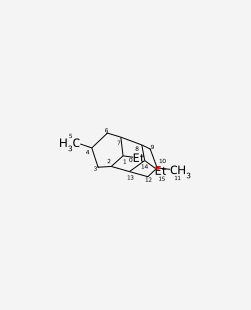 CCC1C2CC(C)CC1C1CC(C)CC2C1CC